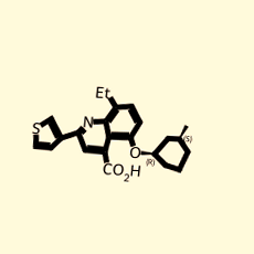 CCc1ccc(O[C@@H]2CCC[C@H](C)C2)c2c(C(=O)O)cc(-c3ccsc3)nc12